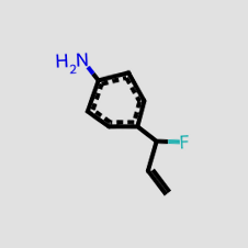 C=CC(F)c1ccc(N)cc1